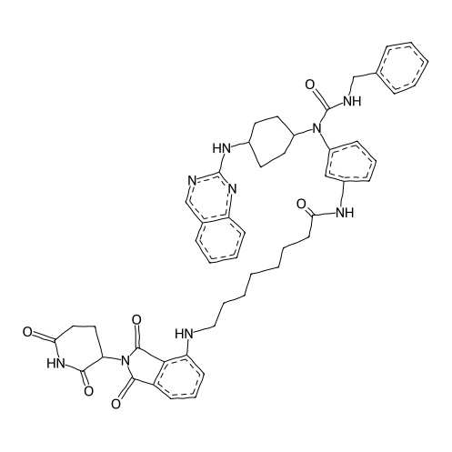 O=C1CCC(N2C(=O)c3cccc(NCCCCCCCC(=O)Nc4cccc(N(C(=O)NCc5ccccc5)C5CCC(Nc6ncc7ccccc7n6)CC5)c4)c3C2=O)C(=O)N1